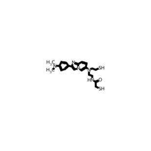 CN(C)c1ccc(-c2cn3cc(N(CCS)CCNC(=O)CS)ccc3n2)cc1